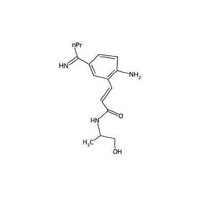 CCCC(=N)c1ccc(N)c(C=CC(=O)NC(C)CO)c1